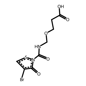 O=C(O)CCOCNC(=O)n1scc(Br)c1=O